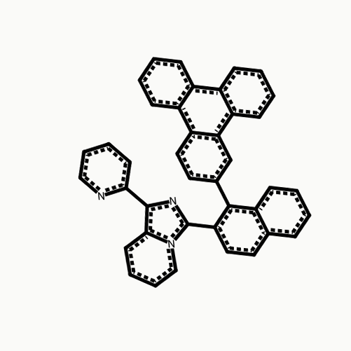 c1ccc(-c2nc(-c3ccc4ccccc4c3-c3ccc4c5ccccc5c5ccccc5c4c3)n3ccccc23)nc1